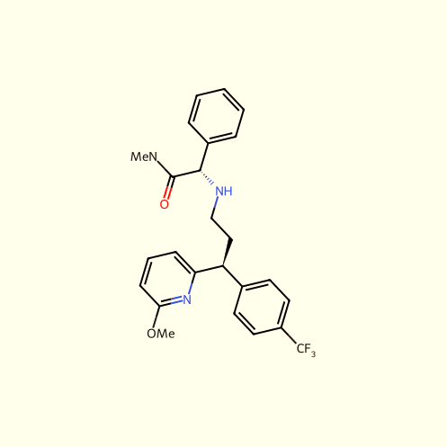 CNC(=O)[C@@H](NCC[C@@H](c1ccc(C(F)(F)F)cc1)c1cccc(OC)n1)c1ccccc1